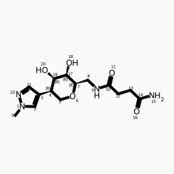 Cn1cc([C@@H]2CO[C@H](CNC(=O)CCC(N)=O)[C@H](O)[C@@H]2O)cn1